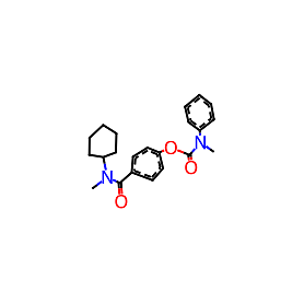 CN(C(=O)Oc1ccc(C(=O)N(C)C2CCCCC2)cc1)c1ccccc1